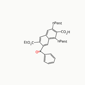 CCCCCc1cc2cc(C(=O)OCC)c(C(=O)c3ccccc3)cc2c(CCCCC)c1C(=O)O